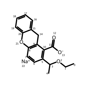 CCOC(C)c1ccc2c(c1C(=O)[O-])Cc1ccccc1O2.[Na+]